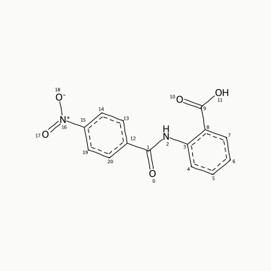 O=C(Nc1ccccc1C(=O)O)c1ccc([N+](=O)[O-])cc1